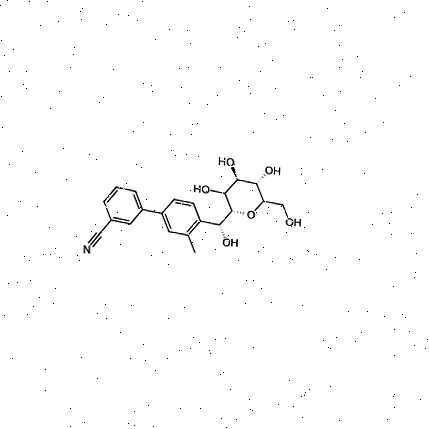 Cc1cc(-c2cccc(C#N)c2)ccc1[C@@H](O)[C@H]1OC(CO)[C@@H](O)[C@H](O)C1O